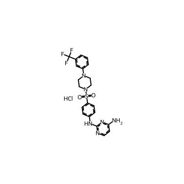 Cl.Nc1ccnc(Nc2ccc(S(=O)(=O)N3CCN(c4cccc(C(F)(F)F)c4)CC3)cc2)n1